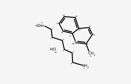 CCCCCCCCCCCCCCCCN.Cc1ccc2ccccc2n1.Cl